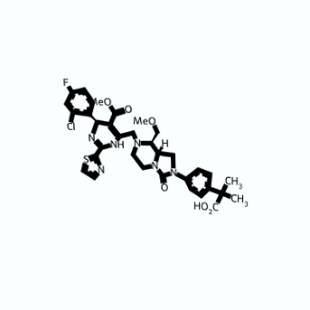 COC[C@H]1[C@@H]2CN(c3ccc(C(C)(C)C(=O)O)cc3)C(=O)N2CCN1CC1=C(C(=O)OC)[C@H](c2ccc(F)cc2Cl)N=C(c2nccs2)N1